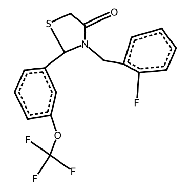 O=C1CSC(c2cccc(OC(F)(F)F)c2)N1Cc1ccccc1F